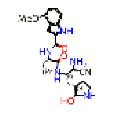 COc1cccc2[nH]c(C(=O)N[C@@H](CC(C)C)C(=O)N[C@@H](C[C@@H]3CCNC3O)C(N)C#N)cc12